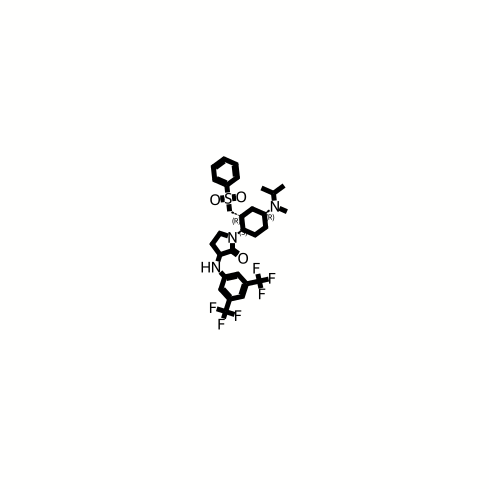 CC(C)N(C)[C@@H]1CC[C@H](N2CCC(Nc3cc(C(F)(F)F)cc(C(F)(F)F)c3)C2=O)[C@H](CS(=O)(=O)c2ccccc2)C1